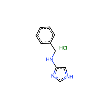 Cl.c1ccc(CNc2c[nH]cn2)cc1